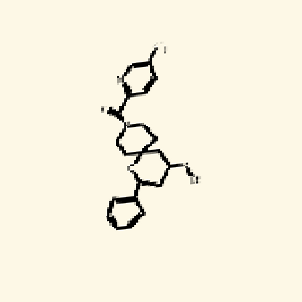 CCOC1CC(c2ccccc2)OC2(CCN(C(=O)c3ccc(C(F)(F)F)cn3)CC2)C1